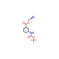 CC(C)(C)OC(=O)Nc1cccc(C(=O)OCC#N)c1